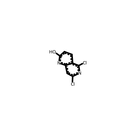 Oc1ccc2c(Cl)nc(Cl)cc2n1